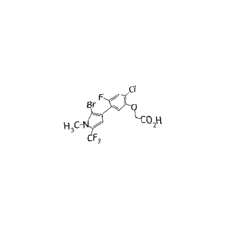 Cn1c(C(F)(F)F)cc(-c2cc(OCC(=O)O)c(Cl)cc2F)c1Br